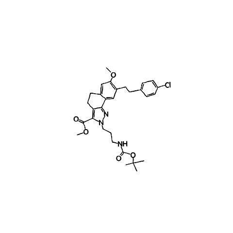 COC(=O)c1c2c(nn1CCCNC(=O)OC(C)(C)C)-c1cc(CCc3ccc(Cl)cc3)c(OC)cc1CC2